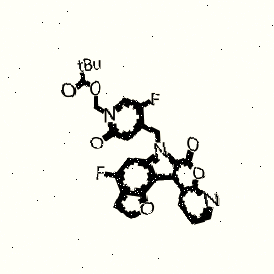 CC(C)(C)C(=O)OCn1cc(F)c(Cn2c3cc(F)c4ccoc4c3c3c4cccnc4oc(=O)c32)cc1=O